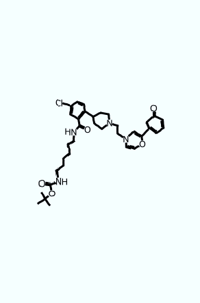 CC(C)(C)OC(=O)NCCCCCCNC(=O)c1cc(Cl)ccc1C1CCN(CCN2C=COC(C3=CC=CC(=O)C3)=C2)CC1